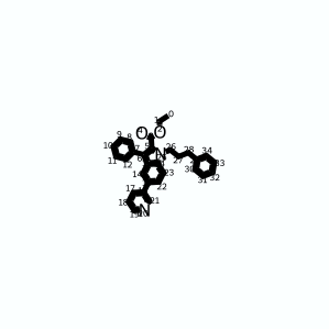 CCOC(=O)c1c(-c2ccccc2)c2cc(-c3cccnc3)ccc2n1CCCc1ccccc1